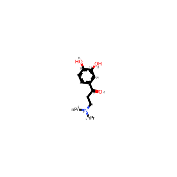 CCCN(CCC)CCC(=O)c1ccc(O)c(O)c1